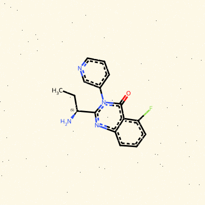 CC[C@H](N)c1nc2cccc(F)c2c(=O)n1-c1cccnc1